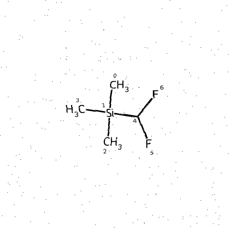 C[Si](C)(C)C(F)F